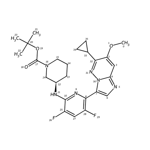 COc1cc2ncc(-c3nc(N[C@@H]4CCCN(C(=O)OC(C)(C)C)C4)c(F)cc3F)n2nc1C1CC1